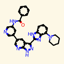 O=C(Nc1cncc(-c2cnc3[nH]nc(-c4nc5c(N6CCCCC6)cccc5[nH]4)c3c2)c1)c1ccccc1